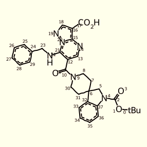 CC(C)(C)OC(=O)N1CC2(CCN(C(=O)c3cnc4c(C(=O)O)cnn4c3NCc3ccccc3)CC2)c2ccccc21